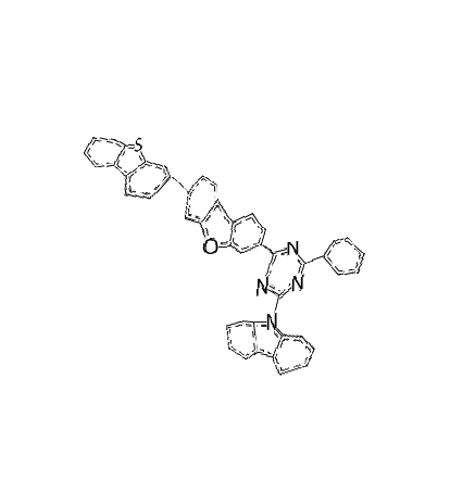 c1ccc(-c2nc(-c3ccc4c(c3)oc3cc(-c5ccc6c(c5)sc5ccccc56)ccc34)nc(-n3c4ccccc4c4ccccc43)n2)cc1